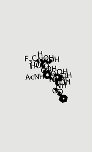 CC(=O)NC1C[C@@H](NC(C)=O)C(O[C@H]2OC(CO)[C@@H](O)C(NC(=O)C(F)(F)F)[C@H]2O)[C@@H](O)[C@@H]1O[C@H]1OC(CNC(=O)OCc2ccccc2)[C@@H](O)[C@H](O)C1O